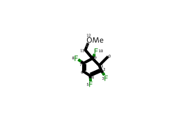 [CH2]C1C(F)=C(F)C=C(F)C1(F)COC